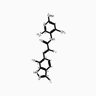 COc1cc(C)c(NC(=O)/C(F)=C/c2ccc3c(F)n[nH]c3c2F)c(C)n1